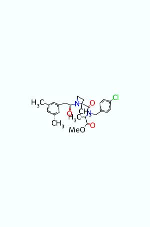 COC(=O)C(C)N(Cc1ccc(Cl)cc1)C(=O)C1(C)CCN1C(=O)Cc1cc(C)cc(C)c1